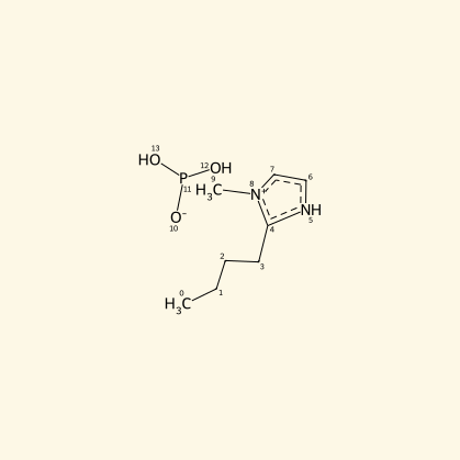 CCCCc1[nH]cc[n+]1C.[O-]P(O)O